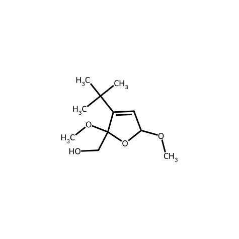 COC1C=C(C(C)(C)C)C(CO)(OC)O1